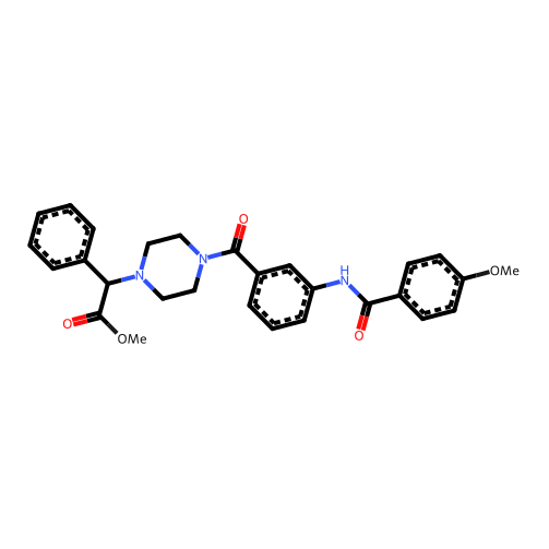 COC(=O)C(c1ccccc1)N1CCN(C(=O)c2cccc(NC(=O)c3ccc(OC)cc3)c2)CC1